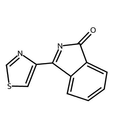 O=C1N=C(c2cscn2)c2ccccc21